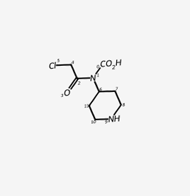 O=C(O)N(C(=O)CCl)C1CCNCC1